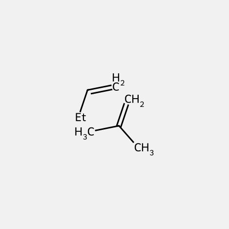 C=C(C)C.C=CCC